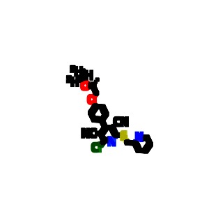 [2H]C([2H])([2H])O[C@H](C)COc1ccc(-c2c(C#N)c(Cl)nc(SCc3ccccn3)c2C#N)cc1